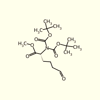 COC(=O)[C@@H](CCCC=O)N(C(=O)OC(C)(C)C)C(=O)OC(C)(C)C